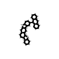 c1ccc2c(-c3ccc4sc5cc6ccc7c8ccccc8sc7c6cc5c4c3)c3ccccc3cc2c1